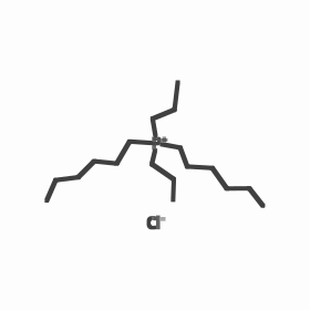 CCCCCC[P+](CCC)(CCC)CCCCCC.[Cl-]